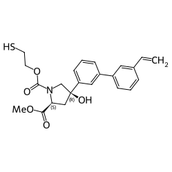 C=Cc1cccc(-c2cccc([C@]3(O)C[C@@H](C(=O)OC)N(C(=O)OCCS)C3)c2)c1